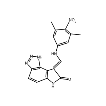 Cc1cc(N/C=C2/C(=O)Nc3ccc4nn[nH]c4c32)cc(C)c1[N+](=O)[O-]